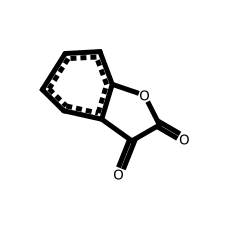 O=C1Oc2ccccc2C1=O